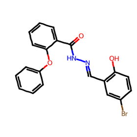 O=C(N/N=C/c1cc(Br)ccc1O)c1ccccc1Oc1ccccc1